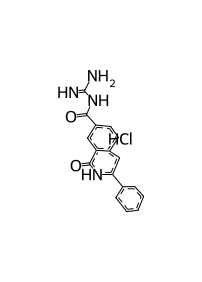 Cl.N=C(N)NC(=O)c1ccc2cc(-c3ccccc3)[nH]c(=O)c2c1